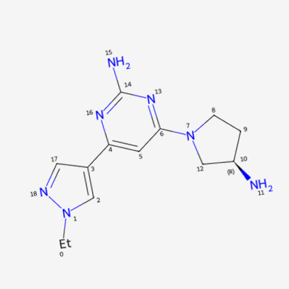 CCn1cc(-c2cc(N3CC[C@@H](N)C3)nc(N)n2)cn1